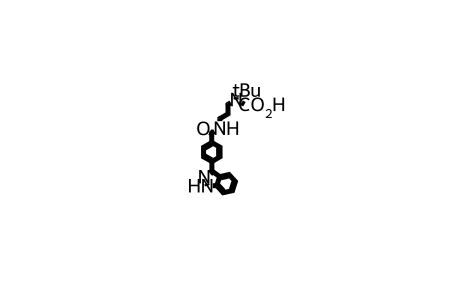 CC(C)(C)N(CCCNC(=O)c1ccc(-c2n[nH]c3ccccc23)cc1)C(=O)O